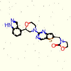 O=C1OCCN1Cc1cc2nc(N3CCOC(c4cccc5[nH]ncc45)C3)ncc2s1